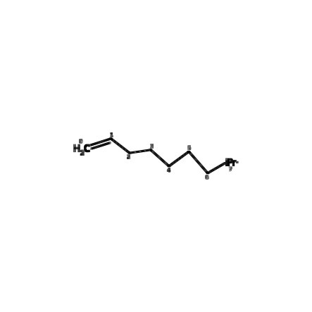 C=CCCCCC[C](C)C